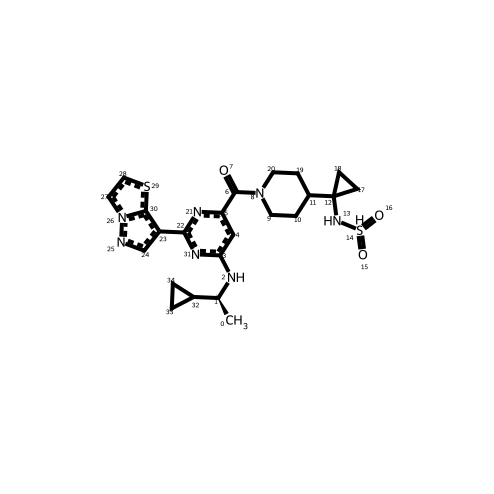 C[C@H](Nc1cc(C(=O)N2CCC(C3(N[SH](=O)=O)CC3)CC2)nc(-c2cnn3ccsc23)n1)C1CC1